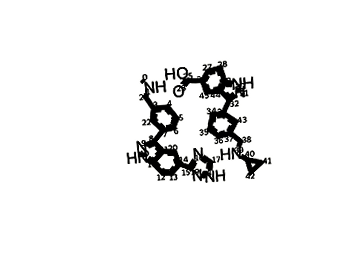 CNCc1cccc(-c2n[nH]c3ccc(-c4nc[nH]n4)cc23)c1.O=C(O)c1ccc2[nH]nc(-c3cccc(CNC4CC4)c3)c2c1